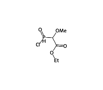 CCOC(=O)C(OC)[PH](=O)Cl